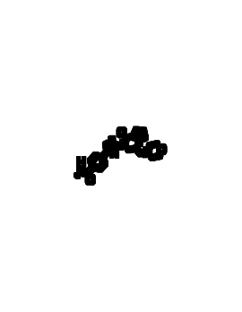 CNC(=O)c1ccc(-c2csc(N(CCCN3CCOCC3)C(=O)c3cccs3)n2)cc1